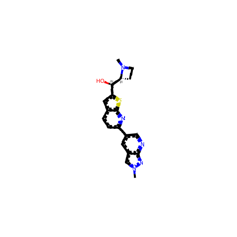 CN1CC[C@@H]1[C@H](O)c1cc2ccc(-c3cnc4nn(C)cc4c3)nc2s1